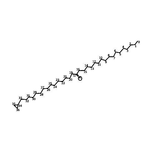 CCCCCCCCCCCCCCCCCC(=O)CCCCCCCCCCCCCCCC1CC1